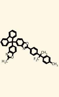 Cc1ccc(C(C)(c2ccc(-c3nc4cc(C5(c6ccc7oc(C)nc7c6)c6ccccc6-c6ccccc65)ccc4o3)cc2)C(F)(F)F)cc1